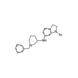 CC(=O)N1CCc2ccc(NC3CCCN(Cc4ccccc4)C3)cc21